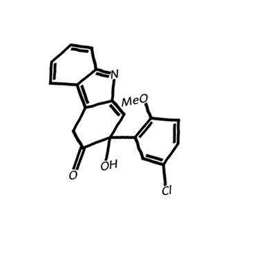 COc1ccc(Cl)cc1C1(O)C=C2N=c3ccccc3=C2CC1=O